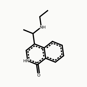 CCNC(C)c1c[nH]c(=O)c2ccccc12